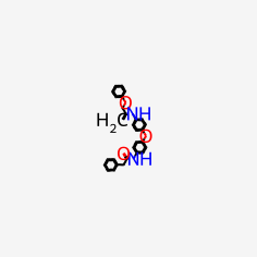 C=C(COc1ccccc1)Nc1ccc(Oc2ccc(NC(=O)Cc3ccccc3)cc2)cc1